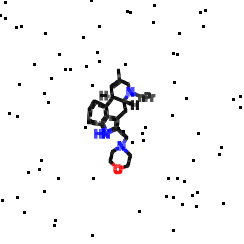 CCCN1CC(C)=C[C@@H]2c3cccc4[nH]c(CN5CCOCC5)c(c34)C[C@H]21